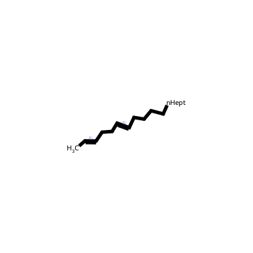 C/C=C/CC/C=C/CCCCCCCCCCC